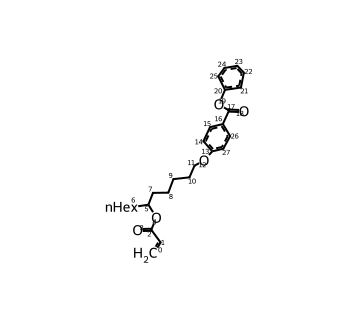 C=CC(=O)OC(CCCCCC)CCCCCOc1ccc(C(=O)Oc2ccccc2)cc1